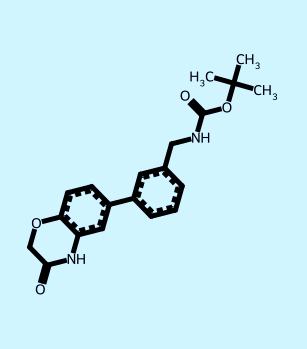 CC(C)(C)OC(=O)NCc1cccc(-c2ccc3c(c2)NC(=O)CO3)c1